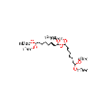 CCCCCCCCCCOC(CCCCC=CC(OCCCCC)OC(C=CCCCCC(OCCCCCCCCCC)OCCCCCCCCCC)OCCCCC)OCCCCCCCCCC